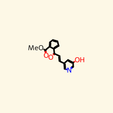 COC(=O)c1ccccc1C(=O)/C=C/c1cncc(O)c1